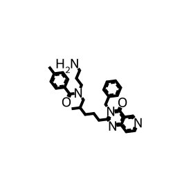 Cc1ccc(C(=O)N(CCCN)CC(C)CCCc2nc3ccncc3c(=O)n2Cc2ccccc2)cc1